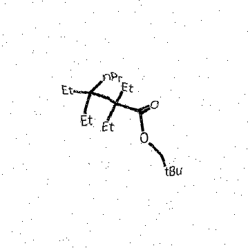 CCCC(CC)(CC)C(CC)(CC)C(=O)OCC(C)(C)C